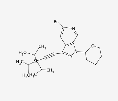 CC(C)[Si](C#Cc1nn(C2CCCCO2)c2cnc(Br)cc12)(C(C)C)C(C)C